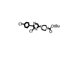 CC(C)(C)OC(=O)N1CCN(c2cnc(-c3ccc(Cl)cc3)c(Cl)n2)CC1